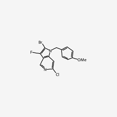 COc1ccc(Cn2c(Br)c(F)c3cnc(Cl)cc32)cc1